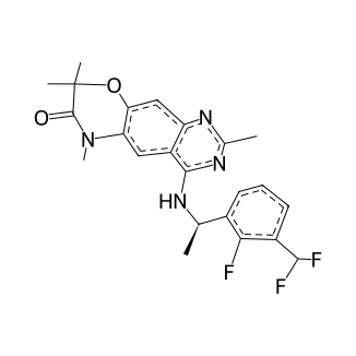 Cc1nc(N[C@H](C)c2cccc(C(F)F)c2F)c2cc3c(cc2n1)OC(C)(C)C(=O)N3C